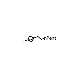 CCCCCCCC12CC(F)(C1)C2